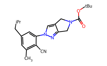 Cc1cc(CC(C)C)cc(-n2cc3c(n2)CN(C(=O)OC(C)(C)C)C3)c1C#N